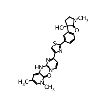 Cc1cc(Nc2nccc(-c3csc(-c4cccc([C@]5(O)CCN(C)C5=O)c4)n3)n2)c(=O)n(C)c1